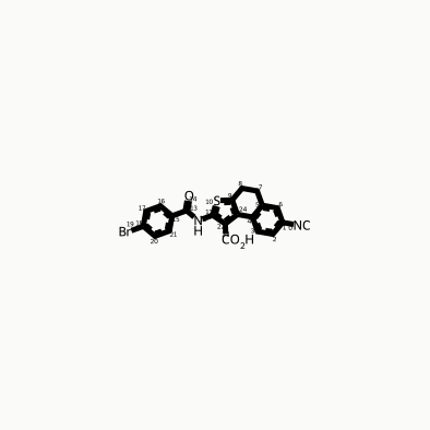 [C-]#[N+]c1ccc2c(c1)CCc1sc(NC(=O)c3ccc(Br)cc3)c(C(=O)O)c1-2